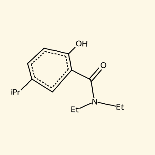 CCN(CC)C(=O)c1cc(C(C)C)ccc1O